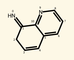 N=C1CC=Cc2cccnc21